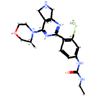 CCNC(=O)Nc1ccc(-c2nc3c(c(N4CCOC[C@@H]4C)n2)CNC3)c(F)c1.Cl